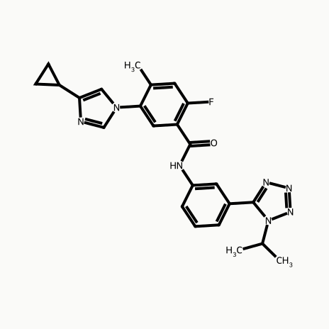 Cc1cc(F)c(C(=O)Nc2cccc(-c3nnnn3C(C)C)c2)cc1-n1cnc(C2CC2)c1